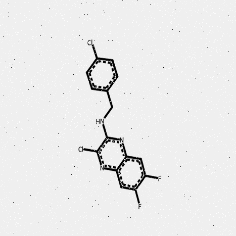 Fc1cc2nc(Cl)c(NCc3ccc(Cl)cc3)nc2cc1F